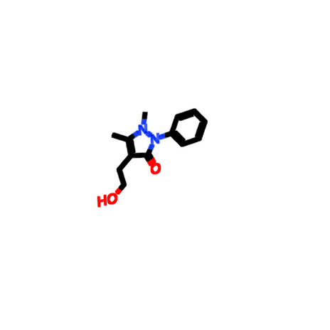 Cc1c(CCO)c(=O)n(-c2ccccc2)n1C